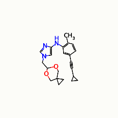 Cc1ccc(C#CC2CC2)cc1Nc1cn(CC2OCC3(CC3)CO2)cn1